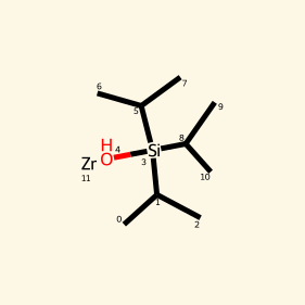 CC(C)[Si](O)(C(C)C)C(C)C.[Zr]